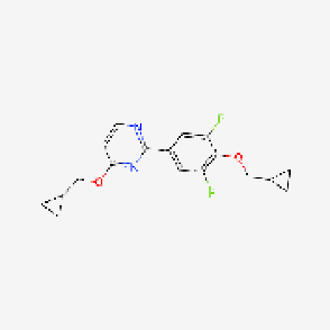 Fc1cc(-c2nccc(OCC3CC3)n2)cc(F)c1OCC1CC1